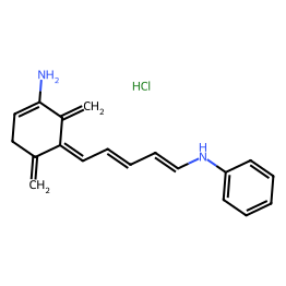 C=C1CC=C(N)C(=C)C1=CC=CC=CNc1ccccc1.Cl